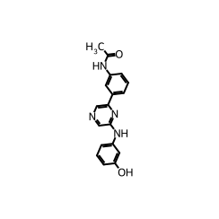 CC(=O)Nc1cccc(-c2cncc(Nc3cccc(O)c3)n2)c1